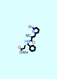 COC(=O)CC[C@H](NC(=O)/C(C#N)=C/c1cccc(Br)n1)c1ccccc1